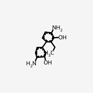 CCc1c(-c2ccc(N)c(O)c2)ccc(N)c1O